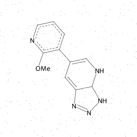 COc1ncccc1C1=CNC2NN=NC2=C1